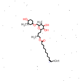 CCCCCCCC/C=C\CCCCCCCCC(=O)OCC(C)CCC1OC(CO[C@@H]2CCC(O)[C@H](C)C2)C(C)C(O)[C@H]1O